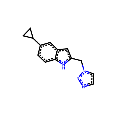 c1cn(Cc2cc3cc(C4CC4)ccc3[nH]2)nn1